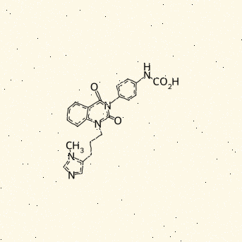 Cn1cncc1CCCn1c(=O)n(-c2ccc(NC(=O)O)cc2)c(=O)c2ccccc21